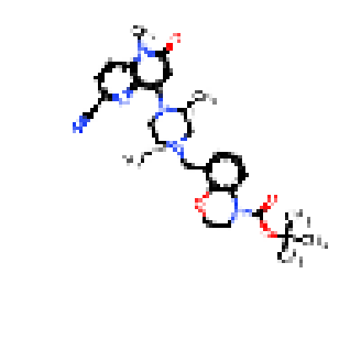 C[C@@H]1CN(c2cc(=O)n(C)c3ccc(C#N)nc23)[C@@H](C)CN1Cc1cccc2c1OCCN2C(=O)OC(C)(C)C